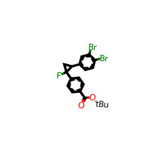 CC(C)(C)OC(=O)c1ccc(C2(F)CC2c2ccc(Br)c(Br)c2)cc1